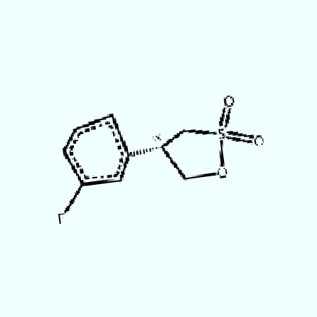 O=S1(=O)C[C@@H](c2cccc(F)c2)CO1